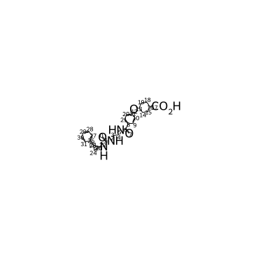 O=C(NCCNC(=O)c1ccc(OC2CCC(C(=O)O)CC2)cc1)N[C@@H]1C[C@H]1c1ccccc1